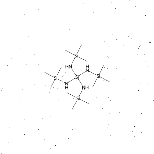 C[Si](C)(C)N[Si](N[Si](C)(C)C)(N[Si](C)(C)C)N[Si](C)(C)C